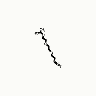 CC(O)OCCOCCOCCN=[N+]=[N-]